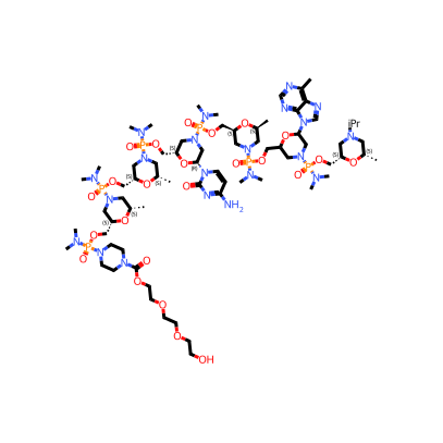 Cc1ncnc2c1ncn2C1CN(P(=O)(OC[C@@H]2CN(C(C)C)C[C@H](C)O2)N(C)C)CC(COP(=O)(N(C)C)N2C[C@@H](COP(=O)(N(C)C)N3C[C@@H](COP(=O)(N(C)C)N4C[C@@H](COP(=O)(N(C)C)N5C[C@@H](COP(=O)(N(C)C)N6CCN(C(=O)OCCOCCOCCO)CC6)O[C@@H](C)C5)O[C@@H](C)C4)O[C@@H](n4ccc(N)nc4=O)C3)O[C@@H](C)C2)O1